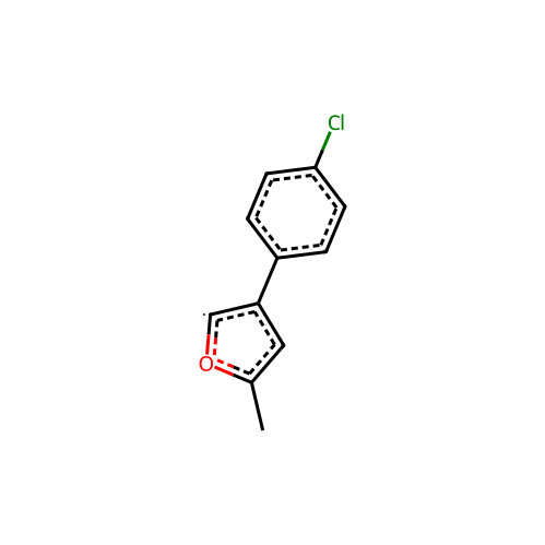 Cc1cc(-c2ccc(Cl)cc2)[c]o1